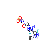 Cc1nc2c(F)cc(-c3nc(Nc4ccc5c(c4)OCC4CN(S(C)(=O)=O)CCN54)ncc3F)cc2n1C(C)C